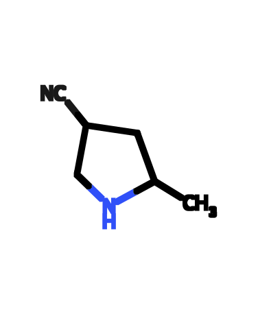 CC1CC(C#N)CN1